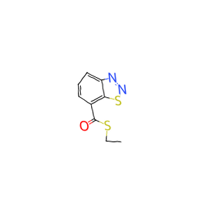 CCSC(=O)c1cccc2nnsc12